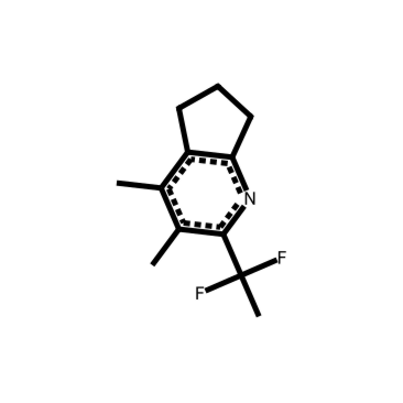 Cc1c(C(C)(F)F)nc2c(c1C)CCC2